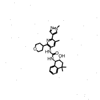 Cc1cc(NC(=O)N[C@@H]2c3ccccc3C(C)(C)C[C@H]2O)c(C2CCOCC2)nc1-c1cnn(C)c1